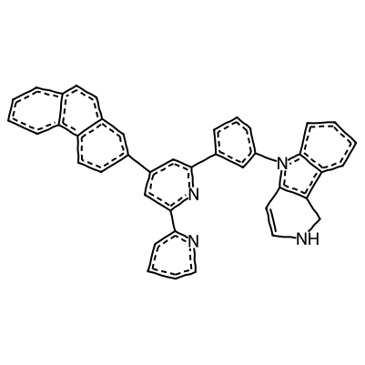 C1=Cc2c(c3ccccc3n2-c2cccc(-c3cc(-c4ccc5c(ccc6ccccc65)c4)cc(-c4ccccn4)n3)c2)CN1